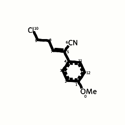 COc1ccc(/C(C#N)=C/CCCl)cc1